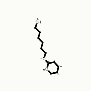 OCCCCCCOC1CCCCO1